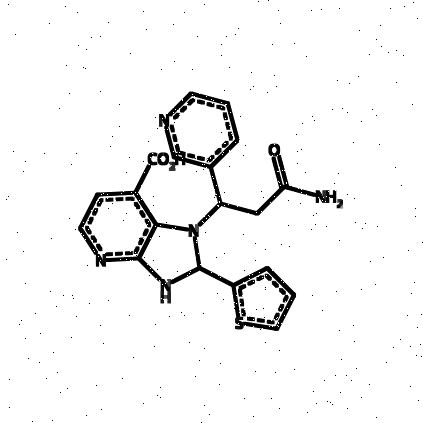 NC(=O)CC(c1cccnc1)N1c2c(C(=O)O)ccnc2NC1c1cccs1